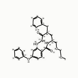 COCOC[C@H](C[C@H](Cc1ccccn1)C(=O)NO)NC(=O)c1ccc(Oc2ccccc2)cc1